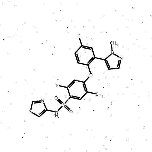 Cc1cc(S(=O)(=O)Nc2cscn2)c(F)cc1Oc1ccc(F)cc1-c1ccnn1C